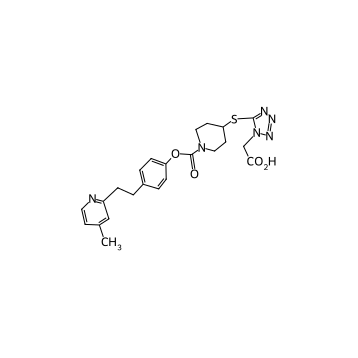 Cc1ccnc(CCc2ccc(OC(=O)N3CCC(Sc4nnnn4CC(=O)O)CC3)cc2)c1